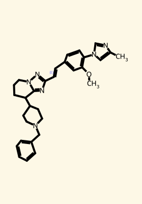 COc1cc(/C=C/c2nc3n(n2)CCCC3C2CCN(Cc3ccccc3)CC2)ccc1-n1cnc(C)c1